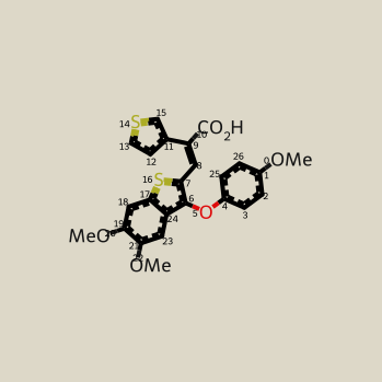 COc1ccc(Oc2c(/C=C(/C(=O)O)c3ccsc3)sc3cc(OC)c(OC)cc23)cc1